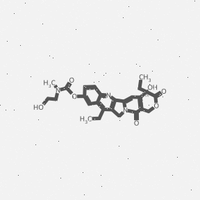 CCc1c2c(nc3ccc(OC(=O)N(C)CCO)cc13)-c1cc3c(c(=O)n1C2)COC(=O)[C@]3(O)CC